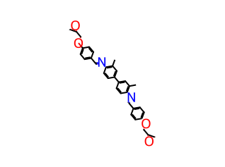 Cc1cc(-c2ccc(N=Cc3ccc(OCC4CO4)cc3)c(C)c2)ccc1N=Cc1ccc(OCC2CO2)cc1